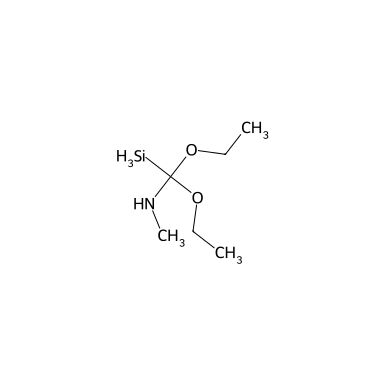 CCOC([SiH3])(NC)OCC